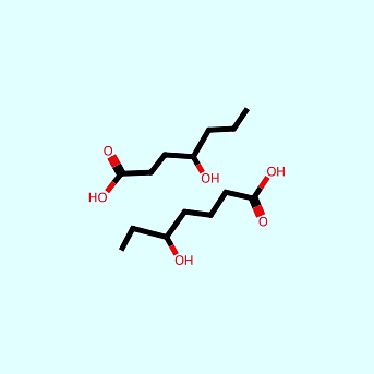 CCC(O)CCCC(=O)O.CCCC(O)CCC(=O)O